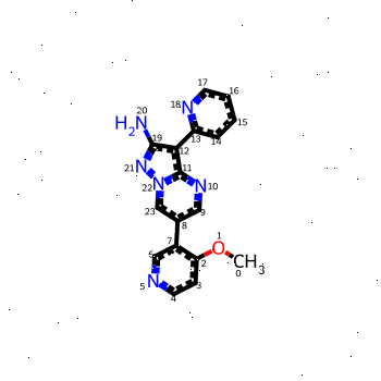 COc1ccncc1-c1cnc2c(-c3ccccn3)c(N)nn2c1